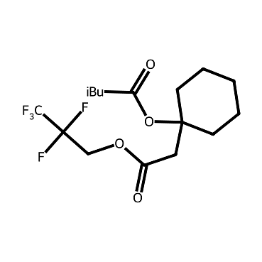 CCC(C)C(=O)OC1(CC(=O)OCC(F)(F)C(F)(F)F)CCCCC1